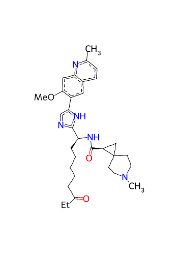 CCC(=O)CCCCC[C@H](NC(=O)[C@H]1CC12CCN(C)CC2)c1ncc(-c2cc3ccc(C)nc3cc2OC)[nH]1